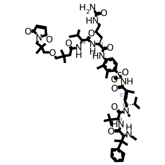 CN[C@H](C(=O)N[C@H](C(=O)N(C)[C@H](/C=C(\C)C(=O)NS(=O)(=O)c1ccc(NC(=O)[C@H](CCCNC(N)=O)NC(=O)[C@@H](NC(=O)CC(C)(C)COCC(C)(C)CN2C(=O)C=CC2=O)C(C)C)c(C)c1C)C(C)C)C(C)(C)C)C(C)(C)c1ccccc1